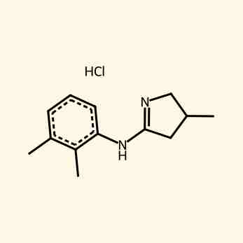 Cc1cccc(NC2=NCC(C)C2)c1C.Cl